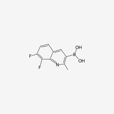 Cc1nc2c(F)c(F)ccc2cc1B(O)O